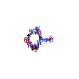 CCOC(=O)c1cn(-c2csc(-c3ccc4c(n3)-c3csc(n3)-c3csc(n3)[C@H]([C@@H](OC(C)=O)c3ccccc3)NC(=O)CNC(=O)c3nc(sc3COC)[C@@H](C(C)C)NC(=O)c3nc(sc3C)[C@H](CC(=O)NC)NC(=O)c3csc-4n3)n2)cn1